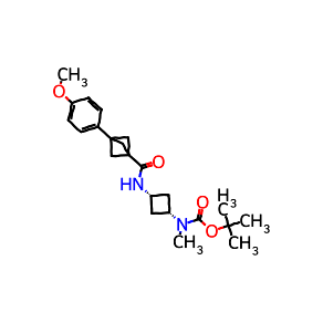 COc1ccc(C23CC(C(=O)N[C@H]4C[C@@H](N(C)C(=O)OC(C)(C)C)C4)(C2)C3)cc1